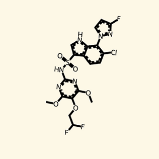 COc1nc(NS(=O)(=O)c2c[nH]c3c(-n4ccc(F)n4)c(Cl)ccc23)nc(OC)c1OCC(F)F